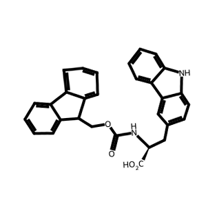 O=C(N[C@@H](Cc1ccc2[nH]c3ccccc3c2c1)C(=O)O)OCC1c2ccccc2-c2ccccc21